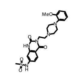 COc1ccccc1N1CCN(CCn2c(=O)[nH]c3cc(NS(C)(=O)=O)ccc3c2=O)CC1